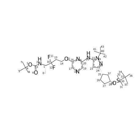 C[C@H](NC(=O)OC(C)(C)C)C(F)(F)CCOc1cncc(Nc2cc([C@H]3CC[C@@H](O[Si](C)(C)C(C)(C)C)C3)nn2C(C)(C)C)n1